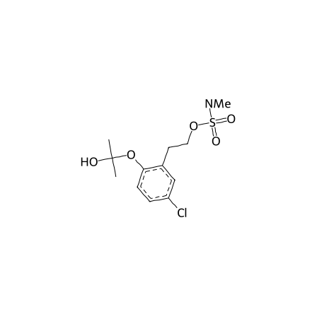 CNS(=O)(=O)OCCc1cc(Cl)ccc1OC(C)(C)O